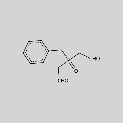 O=CCP(=O)(CC=O)Cc1ccccc1